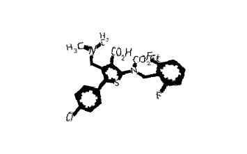 CCOC(=O)N(Cc1c(F)cccc1F)c1sc(-c2ccc(Cl)cc2)c(CN(C)C)c1C(=O)O